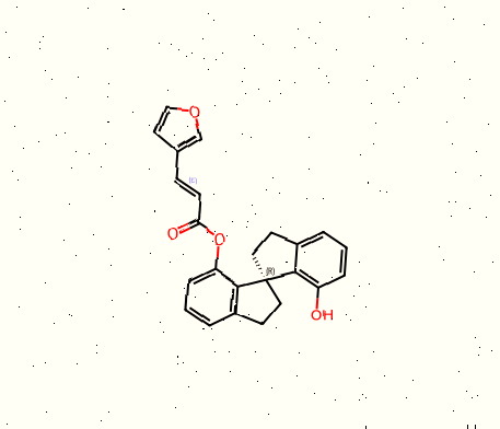 O=C(/C=C/c1ccoc1)Oc1cccc2c1[C@]1(CCc3cccc(O)c31)CC2